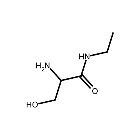 CCNC(=O)C(N)CO